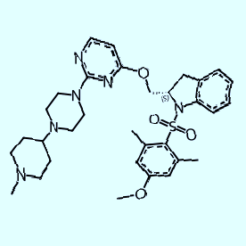 COc1cc(C)c(S(=O)(=O)N2c3ccccc3C[C@H]2COc2ccnc(N3CCN(C4CCN(C)CC4)CC3)n2)c(C)c1